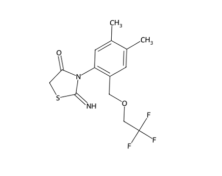 Cc1cc(COCC(F)(F)F)c(N2C(=N)SCC2=O)cc1C